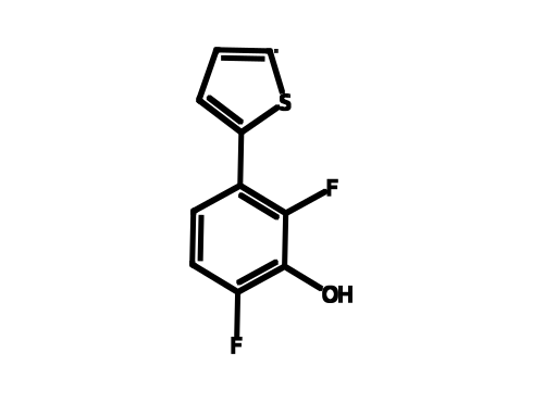 Oc1c(F)ccc(-c2cc[c]s2)c1F